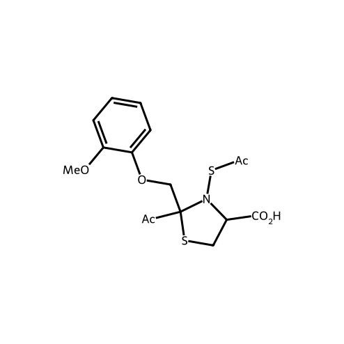 COc1ccccc1OCC1(C(C)=O)SCC(C(=O)O)N1SC(C)=O